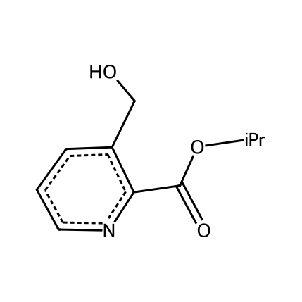 CC(C)OC(=O)c1ncccc1CO